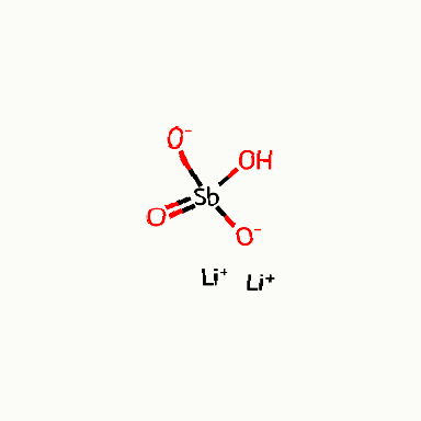 [Li+].[Li+].[O]=[Sb]([O-])([O-])[OH]